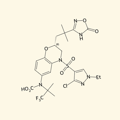 CCn1cc(S(=O)(=O)N2C[C@@H](CC(C)(C)c3noc(=O)[nH]3)Oc3ccc(N(C(=O)O)C(C)(C)C(F)(F)F)cc32)c(Cl)n1